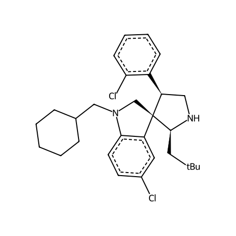 CC(C)(C)C[C@@H]1NC[C@H](c2ccccc2Cl)[C@]12CN(CC1CCCCC1)c1ccc(Cl)cc12